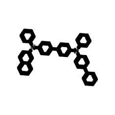 c1ccc(-c2ccc(N(c3ccccc3)c3ccc(-c4ccc(N(c5ccccc5)c5ccc6ccccc6c5)cc4)cc3)cc2)cc1